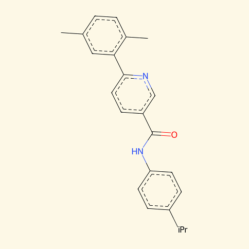 Cc1ccc(C)c(-c2ccc(C(=O)Nc3ccc(C(C)C)cc3)cn2)c1